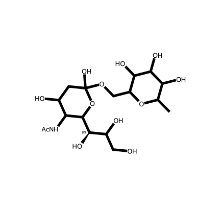 CC(=O)NC1C(O)CC(O)(OCC2OC(C)C(O)C(O)C2O)OC1[C@H](O)C(O)CO